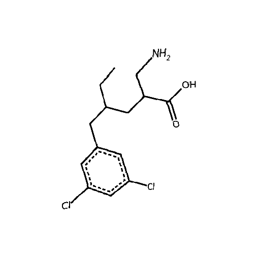 CCC(Cc1cc(Cl)cc(Cl)c1)CC(CN)C(=O)O